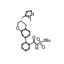 Cn1nccc1C[C@H]1COc2cc(-c3ccccc3C(=O)NS(=O)(=O)C(C)(C)C)ccc2C1